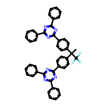 CC(c1ccc(-c2nc(-c3ccccc3)nc(-c3ccccc3)n2)cc1)(c1ccc(-c2nc(-c3ccccc3)nc(-c3ccccc3)n2)cc1)C(F)(F)F